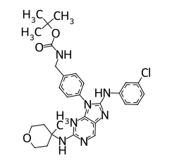 CC1(Nc2ncc3nc(Nc4cccc(Cl)c4)n(-c4ccc(CNC(=O)OC(C)(C)C)cc4)c3n2)CCOCC1